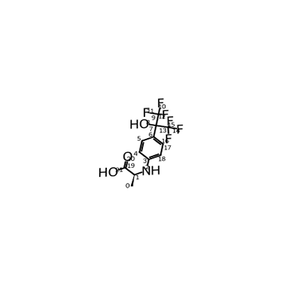 C[C@H](Nc1ccc(C(O)(C(F)(F)F)C(F)(F)F)cc1)C(=O)O